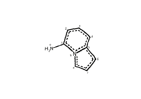 Nc1cccc2cccn12